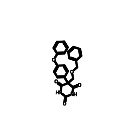 O=C1NC(=O)C(COCc2ccccc2)(c2ccc(Oc3ccccc3)cc2)C(=O)N1